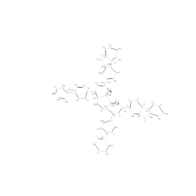 c1ccc(-c2ccc(-c3cc(-c4ccc5c(c4)Cc4ccccc4-5)nc4c3ccc3c(-c5ccc(-c6ccccc6)cc5)cc(-c5ccc6c(c5)Cc5ccccc5-6)nc34)cc2)cc1